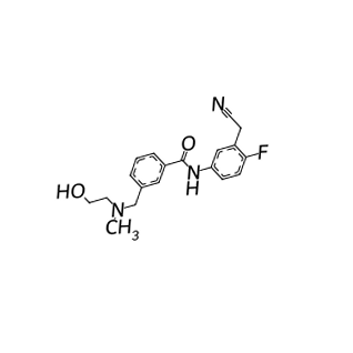 CN(CCO)Cc1cccc(C(=O)Nc2ccc(F)c(CC#N)c2)c1